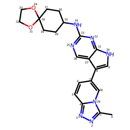 Cc1nnc2ccc(-c3c[nH]c4nc(NC5CCC6(CC5)OCCO6)ncc34)cn12